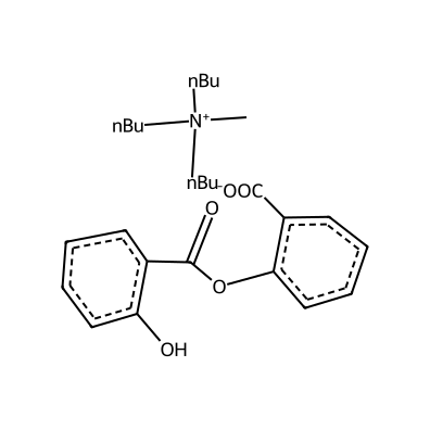 CCCC[N+](C)(CCCC)CCCC.O=C(Oc1ccccc1C(=O)[O-])c1ccccc1O